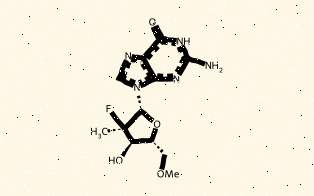 COC[C@H]1O[C@@H](n2cnc3c(=O)[nH]c(N)nc32)[C@](C)(F)[C@@H]1O